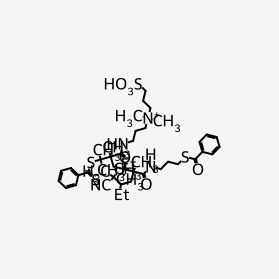 CCC(CC(C)(C(=O)NCCCSC(=O)c1ccccc1)C(C)(CC)CC(C)(C(=O)NCCC[N+](C)(C)CCCS(=O)(=O)O)C(C)(C)SC(=S)c1ccccc1)C(C)(C)C#N